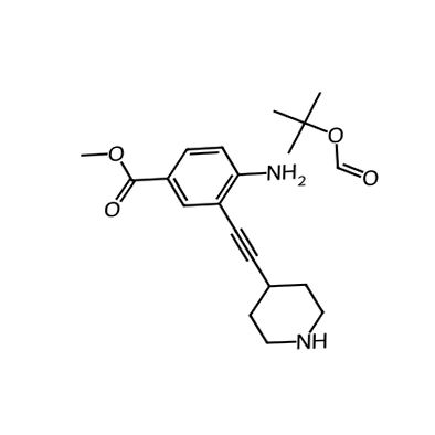 CC(C)(C)OC=O.COC(=O)c1ccc(N)c(C#CC2CCNCC2)c1